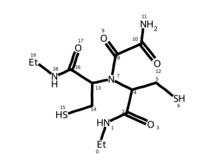 CCNC(=O)C(CS)N(C(=O)C(N)=O)C(CS)C(=O)NCC